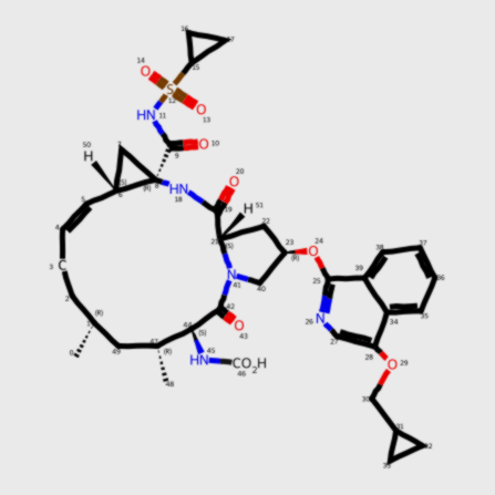 C[C@@H]1CCC=C[C@@H]2C[C@@]2(C(=O)NS(=O)(=O)C2CC2)NC(=O)[C@@H]2C[C@@H](Oc3ncc(OCC4CC4)c4ccccc34)CN2C(=O)[C@@H](NC(=O)O)[C@H](C)C1